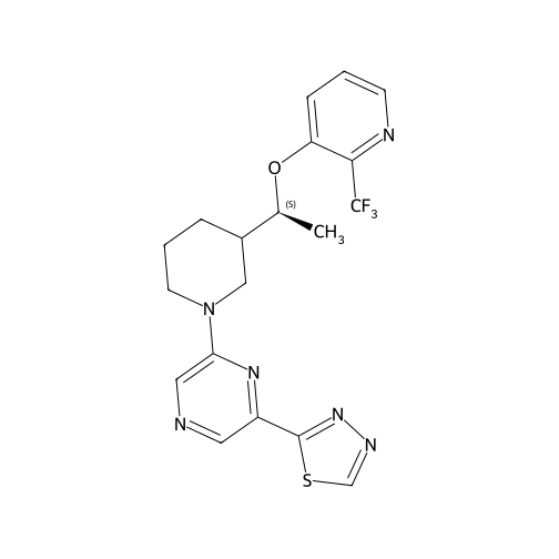 C[C@H](Oc1cccnc1C(F)(F)F)C1CCCN(c2cncc(-c3nncs3)n2)C1